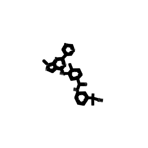 Cc1ccc(C(=O)Nc2cccc(C(C)(C)O)c2)cc1Nc1nc(-c2cncnc2)nc2c1cnn2C